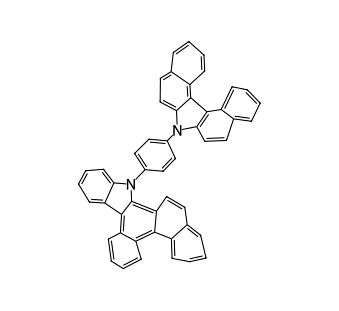 c1ccc2c(c1)ccc1c2c2ccccc2c2c3ccccc3n(-c3ccc(-n4c5ccc6ccccc6c5c5c6ccccc6ccc54)cc3)c12